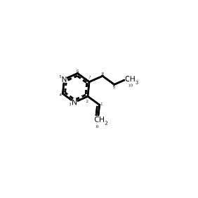 C=Cc1ncncc1CCC